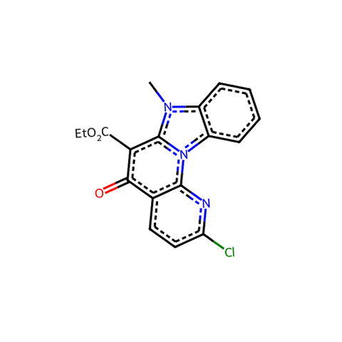 CCOC(=O)c1c(=O)c2ccc(Cl)nc2n2c3ccccc3n(C)c12